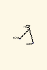 CCCCCCCC/C=C\CCCCCCCCOCC(CC1CNCCN1C)OCCCCCCCC/C=C\CCCCCCCC